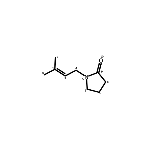 CC(C)=CCN1CCCC1=O